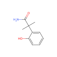 CC(C)(C(N)=O)c1ccccc1O